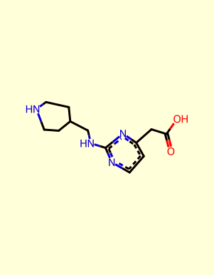 O=C(O)Cc1ccnc(NCC2CCNCC2)n1